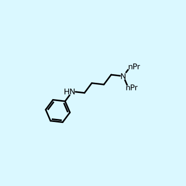 CCCN(CCC)CCCCNc1ccccc1